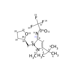 Cn1c(C(C)(C)C)c/c(=N\C(=O)C(F)(F)F)n1C[C@H]1CCCO1